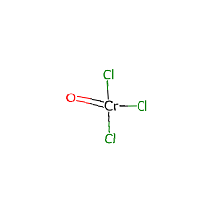 [O]=[Cr]([Cl])([Cl])[Cl]